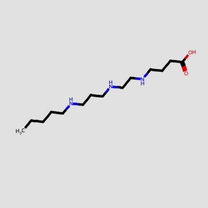 CCCCCNCCCNCCNCCCC(=O)O